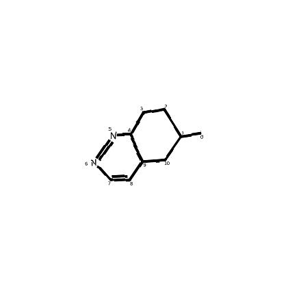 CC1CCC2N=NC=CC2C1